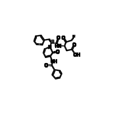 O=C(O)CC(NC(=O)[C@H](Cc1ccccc1)n1cccc(NC(=O)c2ccccc2)c1=O)C(=O)CF